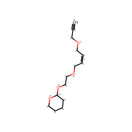 C#CCOC/C=C\COCCOC1CCCCO1